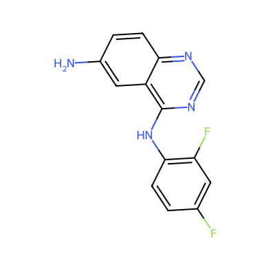 Nc1ccc2ncnc(Nc3ccc(F)cc3F)c2c1